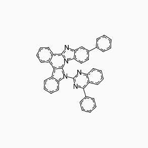 c1ccc(-c2ccc3c(c2)nc2c4ccccc4c4c5ccccc5n(-c5nc(-c6ccccc6)c6ccccc6n5)c4n32)cc1